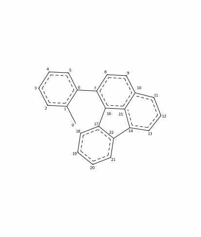 Cc1ccccc1-c1ccc2cccc3c2c1-c1ccccc1-3